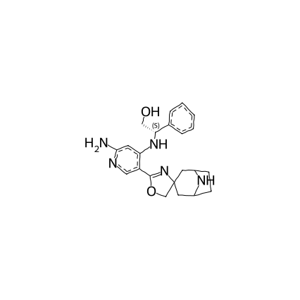 Nc1cc(N[C@H](CO)c2ccccc2)c(C2=NC3(CO2)CC2CCC(C3)N2)cn1